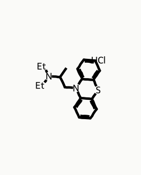 CCN(CC)C(C)CN1c2ccccc2Sc2ccccc21.Cl